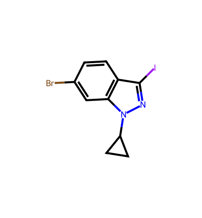 Brc1ccc2c(I)nn(C3CC3)c2c1